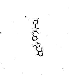 Cc1nc(C2CCN(C)C2)sc1Oc1ccc(-n2ncn(Cc3c(F)cccc3F)c2=O)cc1